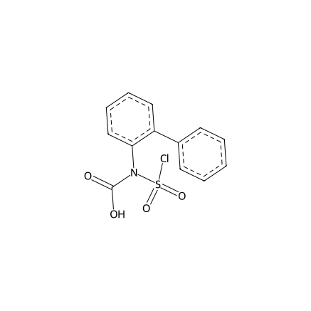 O=C(O)N(c1ccccc1-c1ccccc1)S(=O)(=O)Cl